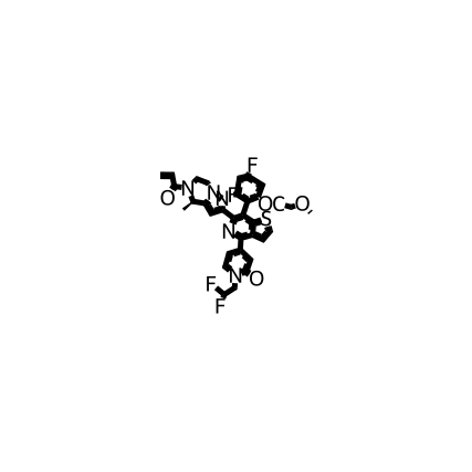 C=CC(=O)N1CCn2nc(-c3nc(-c4ccn(CC(F)F)c(=O)c4)c4ccsc4c3-c3c(F)cc(F)cc3OCCOC)cc2[C@H]1C